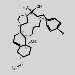 CCCC[C@H]1[C@H]([C@@H]2CC[C@H]([C@](C)(O)CCc3ccc(F)cc3)C2)CC=C2C[C@@H](OC)CC[C@@]21C